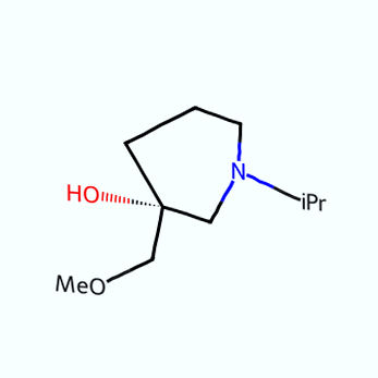 COC[C@@]1(O)CCCN(C(C)C)C1